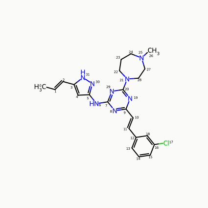 C/C=C/c1cc(Nc2nc(/C=C/c3cccc(Cl)c3)nc(N3CCCN(C)CC3)n2)n[nH]1